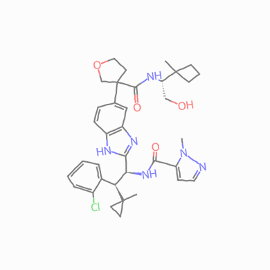 Cn1nccc1C(=O)N[C@H](c1nc2cc(C3(C(=O)N[C@@H](CO)C4(C)CCC4)CCOC3)ccc2[nH]1)[C@H](c1ccccc1Cl)C1(C)CC1